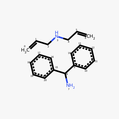 C=CCNCC=C.NC(c1ccccc1)c1ccccc1